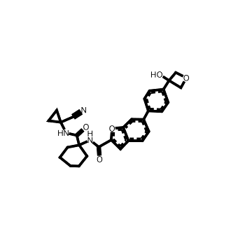 N#CC1(NC(=O)C2(NC(=O)c3cc4ccc(-c5ccc(C6(O)COC6)cc5)cc4o3)CCCCC2)CC1